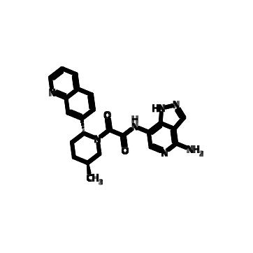 C[C@H]1CC[C@H](c2ccc3cccnc3c2)N(C(=O)C(=O)Nc2cnc(N)c3cn[nH]c23)C1